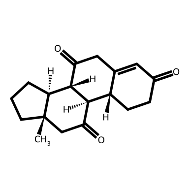 C[C@@]12CCC[C@H]1[C@@H]1C(=O)CC3=CC(=O)CC[C@@H]3[C@H]1C(=O)C2